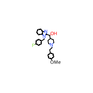 COc1ccc(CCN2CCC(C(O)c3nc4ccccc4n3Cc3ccc(F)cc3)CC2)cc1